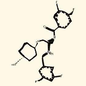 O=C(/N=C(/NCc1cc(F)cc(F)c1)N[C@H]1CC[C@H](O)CC1)c1ccc(F)c(F)c1